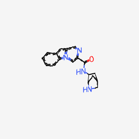 O=C(NC1CC2CNC1C2)c1cn2c(cn1)cc1ccccc12